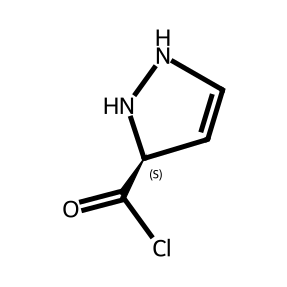 O=C(Cl)[C@@H]1C=CNN1